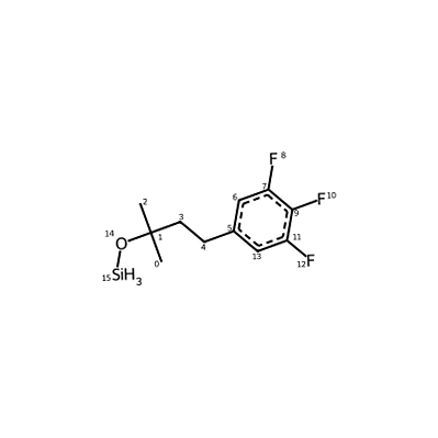 CC(C)(CCc1cc(F)c(F)c(F)c1)O[SiH3]